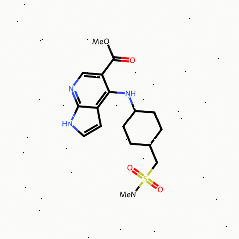 CNS(=O)(=O)CC1CCC(Nc2c(C(=O)OC)cnc3[nH]ccc23)CC1